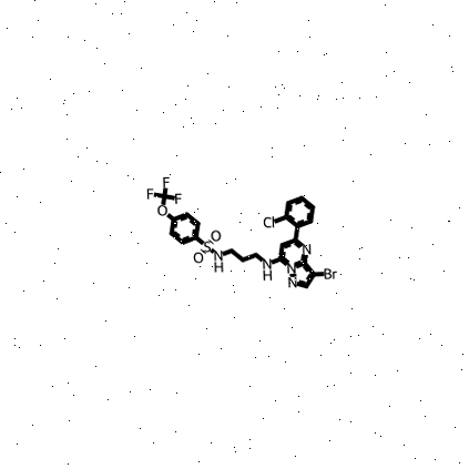 O=S(=O)(NCCCNc1cc(-c2ccccc2Cl)nc2c(Br)cnn12)c1ccc(OC(F)(F)F)cc1